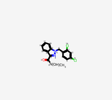 CN(O)C(=O)c1nn(Cc2ccc(Cl)cc2Cl)c2ccccc12